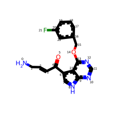 NCC=CC(=O)c1c[nH]c2ncnc(OCc3cccc(F)c3)c12